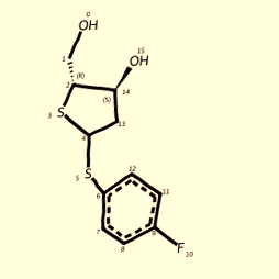 OC[C@H]1SC(Sc2ccc(F)cc2)C[C@@H]1O